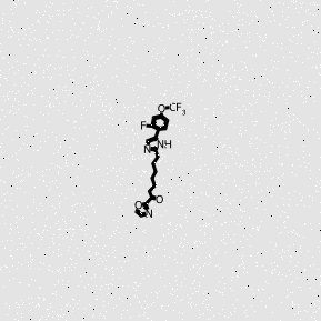 O=C(CCCCCCc1ncc(-c2ccc(OC(F)(F)F)cc2F)[nH]1)c1ncco1